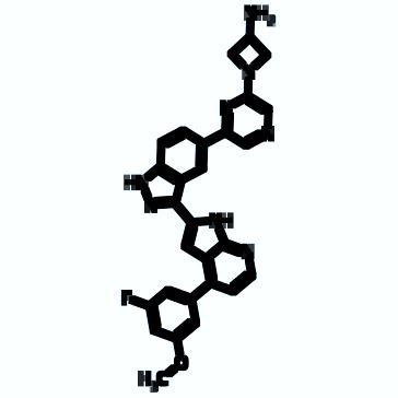 COc1cc(F)cc(-c2ccnc3[nH]c(-c4n[nH]c5ccc(-c6cncc(N7CC(N)C7)n6)cc45)cc23)c1